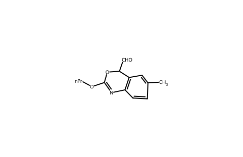 CCCOC1=Nc2ccc(C)cc2C(C=O)O1